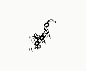 CCC1CCN(Cc2nccn2Cc2cc(C(c3ccc4c(nnn4C)c3C)C(C)(C)C(=O)O)ccc2C)CC1